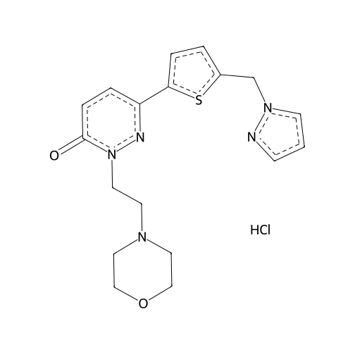 Cl.O=c1ccc(-c2ccc(Cn3cccn3)s2)nn1CCN1CCOCC1